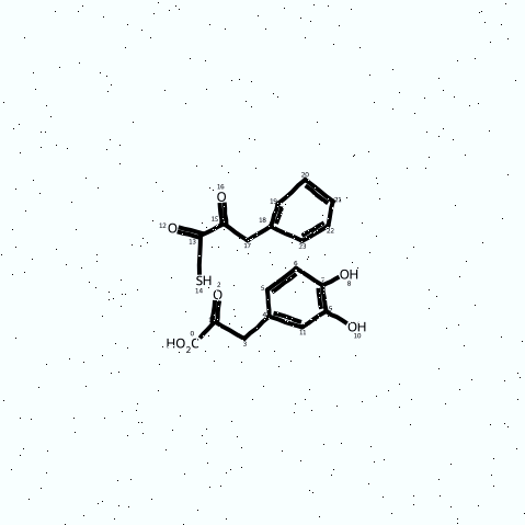 O=C(O)C(=O)Cc1ccc(O)c(O)c1.O=C(S)C(=O)Cc1ccccc1